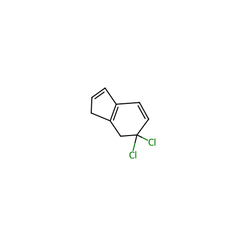 ClC1(Cl)C=CC2=C(CC=C2)C1